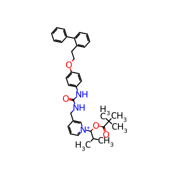 CC(C)C(OC(=O)C(C)(C)C)[n+]1cccc(CNC(=O)Nc2ccc(OCCc3ccccc3-c3ccccc3)cc2)c1